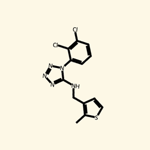 Cc1sccc1CNc1nnnn1-c1cccc(Cl)c1Cl